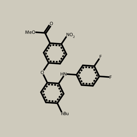 CCCCc1ccc(Oc2ccc([N+](=O)[O-])c(C(=O)OC)c2)c(Nc2ccc(F)c(F)c2)c1